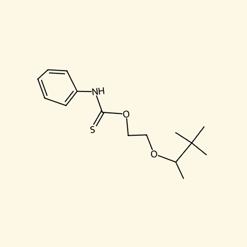 CC(OCCOC(=S)Nc1ccccc1)C(C)(C)C